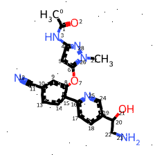 CC(=O)Nc1cc(Oc2cc(C#N)ccc2-c2ccc(C(O)CN)cn2)n(C)n1